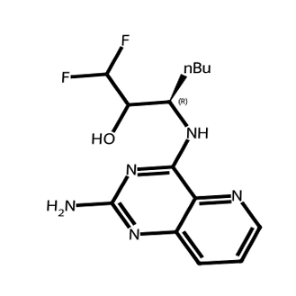 CCCC[C@@H](Nc1nc(N)nc2cccnc12)C(O)C(F)F